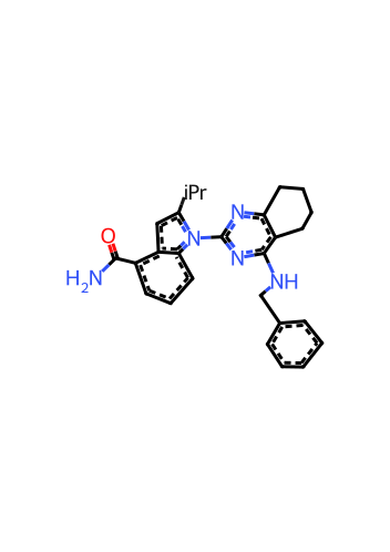 CC(C)c1cc2c(C(N)=O)cccc2n1-c1nc2c(c(NCc3ccccc3)n1)CCCC2